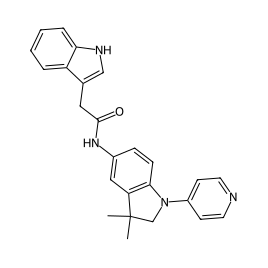 CC1(C)CN(c2ccncc2)c2ccc(NC(=O)Cc3c[nH]c4ccccc34)cc21